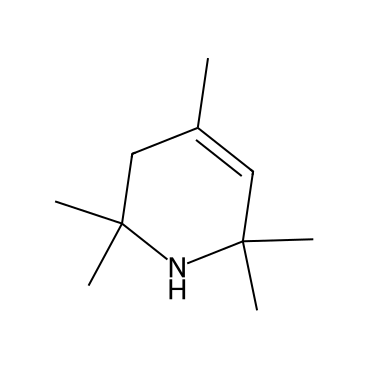 CC1=CC(C)(C)NC(C)(C)C1